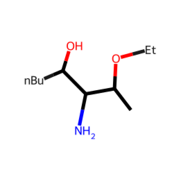 CCCCC(O)C(N)C(C)OCC